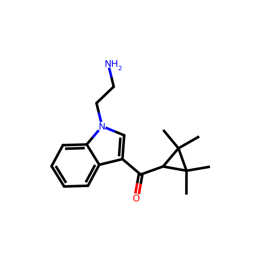 CC1(C)C(C(=O)c2cn(CCN)c3ccccc23)C1(C)C